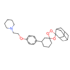 c1cc(C2CCCC3(C2)OOC2(O3)C3CC4CC(C3)CC2C4)ccc1OCCN1CCCCC1